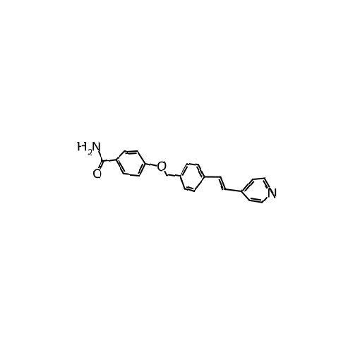 NC(=O)c1ccc(OCc2ccc(C=Cc3ccncc3)cc2)cc1